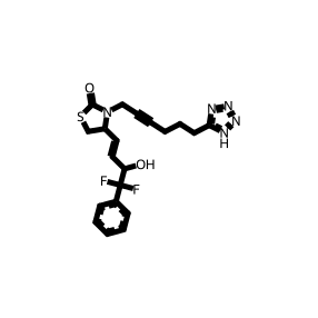 O=C1SCC(/C=C/C(O)C(F)(F)c2ccccc2)N1CC#CCCCc1nnn[nH]1